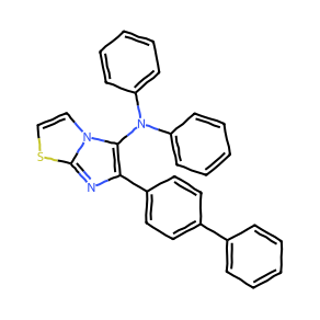 c1ccc(-c2ccc(-c3nc4sccn4c3N(c3ccccc3)c3ccccc3)cc2)cc1